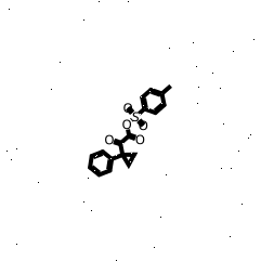 Cc1ccc(S(=O)(=O)OC(=O)C(=O)C2(c3ccccc3)CC2)cc1